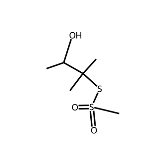 CC(O)C(C)(C)SS(C)(=O)=O